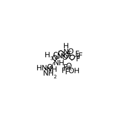 Cc1ccc(NS(=O)(=O)c2cccc(C(F)(F)F)c2)c(=O)n1CC(=O)NCCONC(=N)N.O=C(O)C(F)(F)F